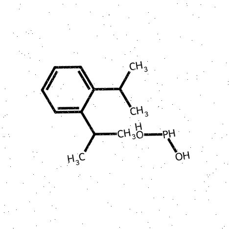 CC(C)c1ccccc1C(C)C.OPO